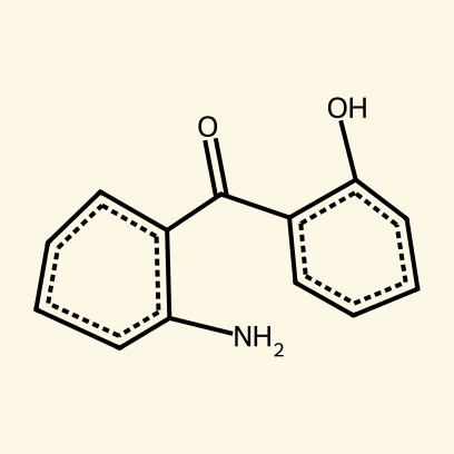 Nc1ccccc1C(=O)c1ccccc1O